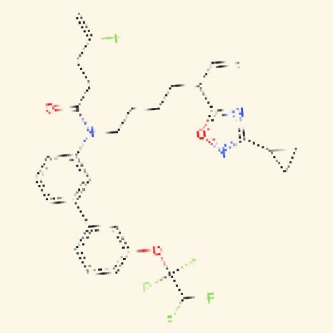 C=CC(CCCCN(C(=O)CCC(=C)F)c1cccc(-c2cccc(OC(F)(F)C(F)F)c2)c1)c1nc(C2CC2)no1